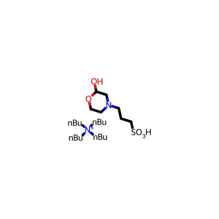 CCCC[N+](CCCC)(CCCC)CCCC.O=S(=O)(O)CCCN1CCOC(O)C1